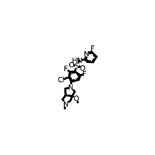 COC12CN(C)CC1CN(c1cc(F)c(S(=O)(=O)Nc3cccc(F)n3)c(F)c1Cl)C2